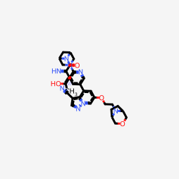 C/C(O)=C/C(=N)C(=O)N1C2CC1CN(c1ccc(-c3cc(OCCN4C5CCC4COC5)cn4ncc(C#N)c34)cn1)C2